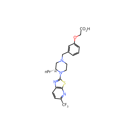 CCC[C@@H]1CN(Cc2cccc(OCC(=O)O)c2)CCN1c1nc2ccc(C(F)(F)F)nc2s1